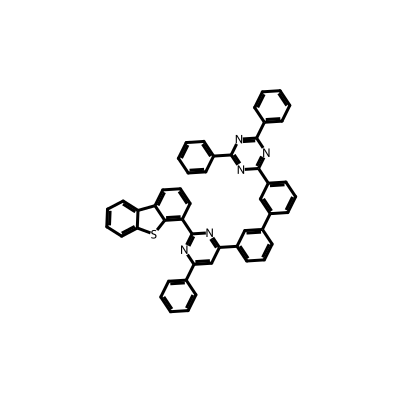 c1ccc(-c2cc(-c3cccc(-c4cccc(-c5nc(-c6ccccc6)nc(-c6ccccc6)n5)c4)c3)nc(-c3cccc4c3sc3ccccc34)n2)cc1